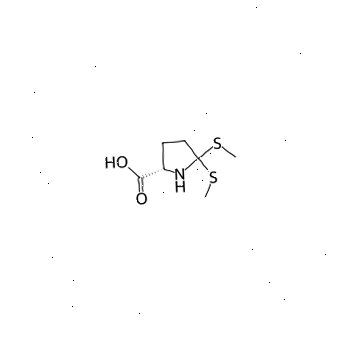 CSC1(SC)CC[C@@H](C(=O)O)N1